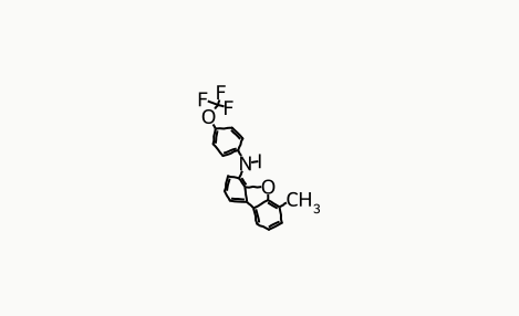 Cc1cccc2c1oc1c(N(I)c3ccc(OC(F)(F)F)cc3)cccc12